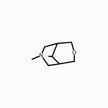 CC1C2COCC1CN(C)C2